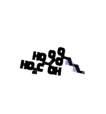 C/C=C/C=C/C(=O)OC(=O)C(O)C(O)C(=O)O